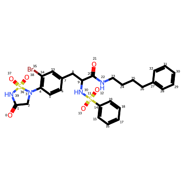 O=C1CN(c2ccc(CC(NS(=O)(=O)c3ccccc3)C(=O)NCCCCc3ccccc3)cc2Br)S(=O)(=O)N1